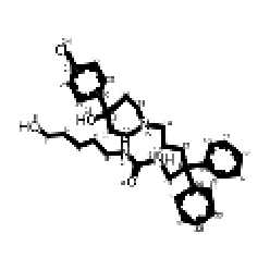 O=C(NCCCCCO)NCC(CCCN1CCC(O)(c2ccc(Cl)cc2)CC1)(c1ccccc1)c1ccccc1